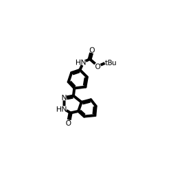 CC(C)(C)OC(=O)Nc1ccc(-c2n[nH]c(=O)c3ccccc23)cc1